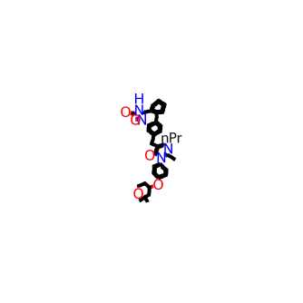 CCCc1nc(C)n(-c2ccc(OC3CCOC(C)(C)C3)cc2)c(=O)c1Cc1ccc(-c2ccccc2-c2noc(=O)[nH]2)cc1